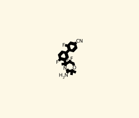 CC1(C)OCC(F)(F)C(C)(c2cc(-c3ccc(C#N)cc3F)ccc2F)N=C1N